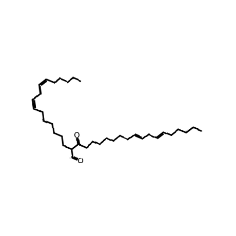 CCCCCC=CCC=CCCCCCCCC(=O)C([C]=O)CCCCCC/C=C\C/C=C\CCCCC